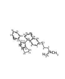 CN(C)CCSc1ccc2c(-c3c(-c4ccccn4)nn4c3CCC4)ccnc2c1